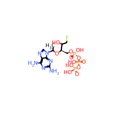 CC(O[C@H](COP(=O)(O)OP(=O)(O)OP(=O)(O)O)C(O)CF)n1cnc2c(N)nc(N)nc21